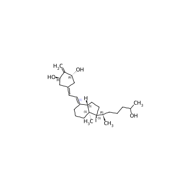 C=C1[C@H](O)CC(=C/C=C2\CCC[C@@]3(C)[C@H]2CC[C@]3(I)[C@H](C)CCCC(C)O)C[C@H]1O